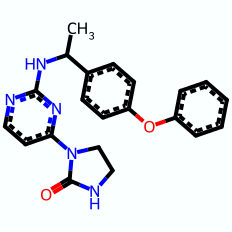 CC(Nc1nccc(N2CCNC2=O)n1)c1ccc(Oc2ccccc2)cc1